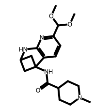 COC(OC)c1ccc2c(n1)NC1CC2(NC(=O)C2CCN(C)CC2)C1